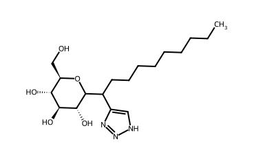 CCCCCCCCCC(c1c[nH]nn1)C1O[C@H](CO)[C@@H](O)[C@H](O)[C@H]1O